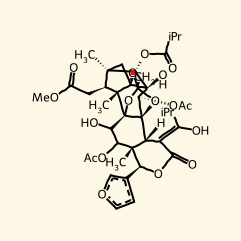 COC(=O)C[C@H]1[C@@]2(C)C[C@@]34O[C@]5(C)O[C@]6([C@@H]7/C(=C(/O)C(C)C)C(=O)O[C@@H](c8ccoc8)[C@]7(C)C(OC(C)=O)C(O)[C@]6(O5)[C@]13C)[C@H](OC(C)=O)[C@@]4(O)[C@H]2OC(=O)C(C)C